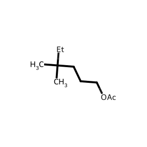 CCC(C)(C)CCCOC(C)=O